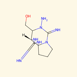 N=C1N[C@H]2C(CO)N(N)C(=N)N3CCCC23N1